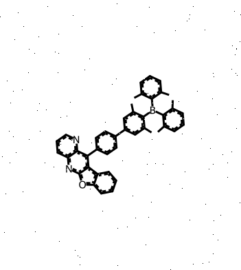 Cc1cccc(C)c1B(c1c(C)cccc1C)c1c(C)cc(-c2ccc(-c3c4ncccc4nc4oc5ccccc5c34)cc2)cc1C